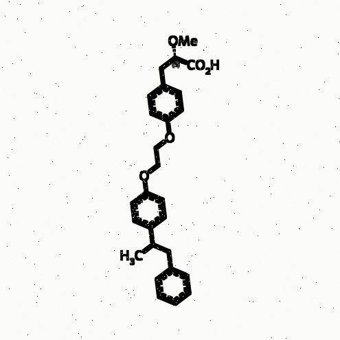 CO[C@@H](Cc1ccc(OCCOc2ccc(C(C)Cc3ccccc3)cc2)cc1)C(=O)O